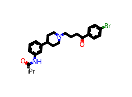 CC(C)C(=O)Nc1cccc(C2CCN(CCCC(=O)c3ccc(Br)cc3)CC2)c1